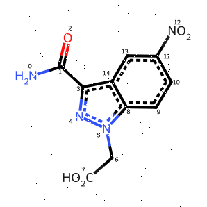 NC(=O)c1nn(CC(=O)O)c2ccc([N+](=O)[O-])cc12